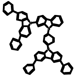 c1ccc(-c2ccc3c(c2)c2cc(-c4ccccc4)ccc2n3-c2ccc(-n3c4ccccc4c4ccc(-n5c6ccc(-c7ccccc7)cc6c6cc(-c7ccccc7)ccc65)cc43)cc2)cc1